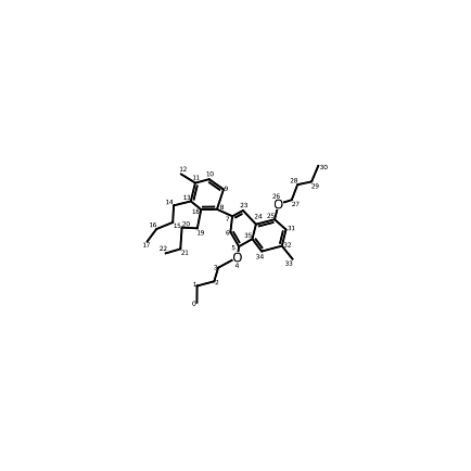 CCCCOc1cc(-c2ccc(C)c(CCCC)c2CCCC)cc2c(OCCCC)cc(C)cc12